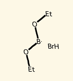 Br.CCO[B]OCC